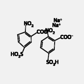 O=C([O-])c1cc(S(=O)(=O)O)ccc1[N+](=O)[O-].O=C([O-])c1cc(S(=O)(=O)O)ccc1[N+](=O)[O-].[Na+].[Na+]